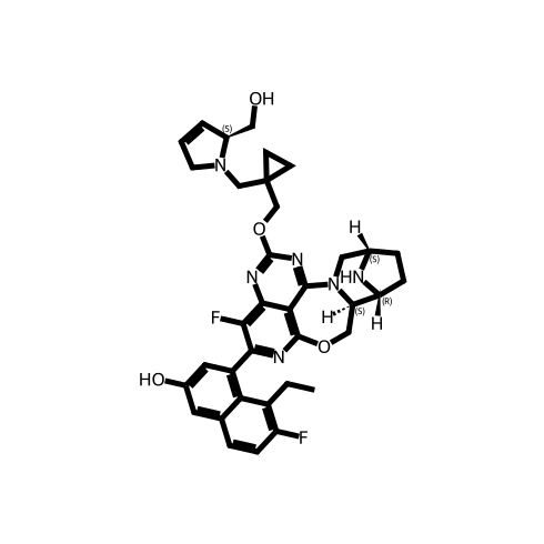 CCc1c(F)ccc2cc(O)cc(-c3nc4c5c(nc(OCC6(CN7CC=C[C@H]7CO)CC6)nc5c3F)N3C[C@@H]5CC[C@@H](N5)[C@H]3CO4)c12